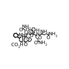 NC(=O)CC[C@H](NC(=O)[C@@H](N)CCC(N)=O)C(=O)N1CCC[C@H]1C(=O)N[C@@H](CCC(N)=O)C(=O)N1CCC[C@H]1C(=O)N[C@@H](Cc1c[nH]c2ccccc12)C(=O)O